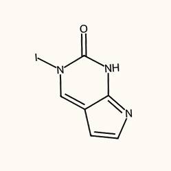 O=c1[nH]c2nccc-2cn1I